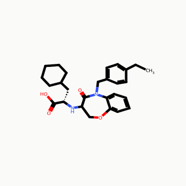 CCc1ccc(CN2C(=O)C(N[C@@H](CC3CCCCC3)C(=O)O)COc3ccccc32)cc1